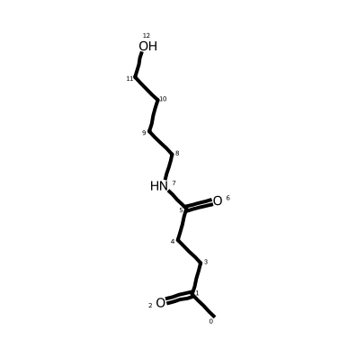 CC(=O)CCC(=O)NCCCCO